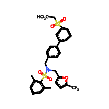 Cc1cccc(C)c1S(=O)(=O)N(Cc1ccc(-c2cccc(S(=O)(=O)CC(=O)O)c2)cc1)Cc1ccc(C(F)(F)F)o1